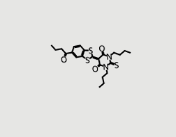 CCCCN1C(=O)C(=C2Sc3ccc(C(=O)CCC)cc3S2)C(=O)N(CCCC)C1=S